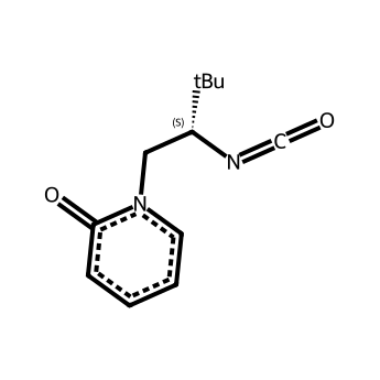 CC(C)(C)[C@@H](Cn1ccccc1=O)N=C=O